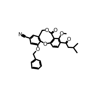 COc1c(C(=O)CC(C)C)ccc2c1C(=O)OCc1cc(C#N)cc(OCc3ccccc3)c1O2